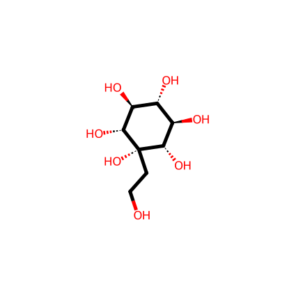 OCC[C@@]1(O)[C@H](O)[C@@H](O)[C@H](O)[C@@H](O)[C@@H]1O